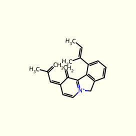 C=C(C)/C=c1/cc[n+]2c(c1=C)-c1c(cccc1/C(C)=C/C)C2